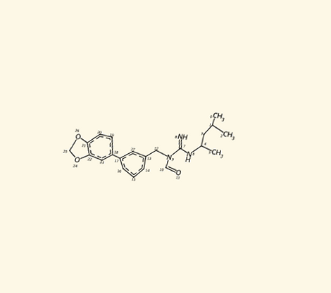 CC(C)CC(C)NC(=N)N(C=O)Cc1cccc(-c2ccc3c(c2)OCO3)c1